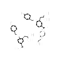 CC(C)Cc1cc(C(=O)N2CCN(CCO)CC2)ccc1OCc1ccc(F)cc1.CC(C)Cc1cc(C(=O)O)ccc1OCc1ccc(F)cc1